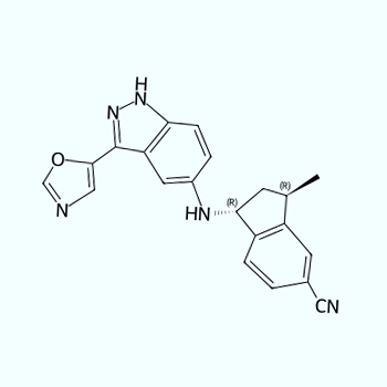 C[C@@H]1C[C@@H](Nc2ccc3[nH]nc(-c4cnco4)c3c2)c2ccc(C#N)cc21